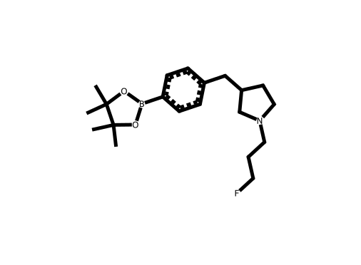 CC1(C)OB(c2ccc(CC3CCN(CCCF)C3)cc2)OC1(C)C